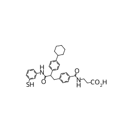 O=C(O)CCNC(=O)c1ccc(CC(C(=O)Nc2cccc(S)c2)c2ccc(C3CCCCC3)cc2)cc1